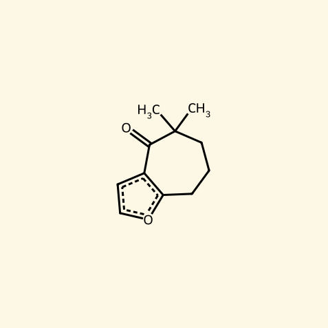 CC1(C)CCCc2occc2C1=O